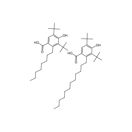 CCCCCCCCCCCCc1c(C(=O)O)cc(C(C)(C)C)c(O)c1C(C)(C)C.CCCCCCCCc1c(C(=O)O)cc(C(C)(C)C)c(O)c1C(C)(C)C